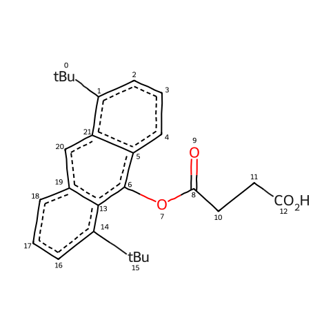 CC(C)(C)c1cccc2c(OC(=O)CCC(=O)O)c3c(C(C)(C)C)cccc3cc12